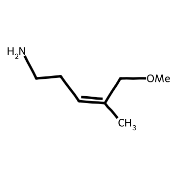 COC/C(C)=C\CCN